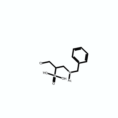 CC(=O)N(Cc1ccccc1)CC(CCl)P(=O)(O)O